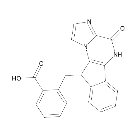 O=C(O)c1ccccc1CC1c2ccccc2-c2[nH]c(=O)c3nccn3c21